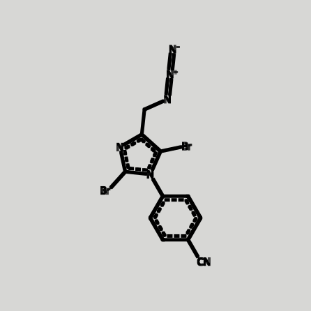 N#Cc1ccc(-n2c(Br)nc(CN=[N+]=[N-])c2Br)cc1